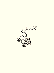 C[C@H](CCCC(C)(C)F)[C@H]1CC=C2C3=C(CC[C@@]21C)[C@]1(C)[C@@H](CCC(O)(O)C1(O)O)C(=O)C3